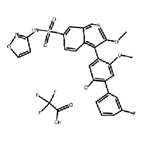 COc1cc(-c2cccc(F)c2)c(Cl)cc1-c1c(OC)ncc2cc(S(=O)(=O)Nc3ccon3)ccc12.O=C(O)C(F)(F)F